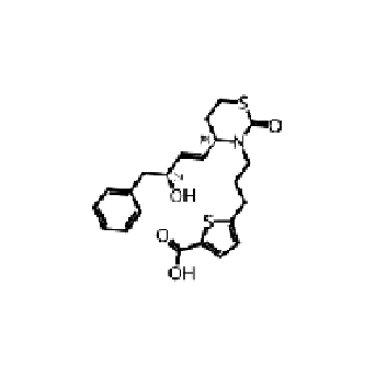 O=C(O)c1ccc(CCCN2C(=O)SCC[C@@H]2C=C[C@@H](O)Cc2ccccc2)s1